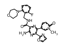 Cn1cc(-c2nc(C(=O)NCc3c(F)cccc3N3CCOCC3)c(N)nc2-c2ncco2)ccc1=O